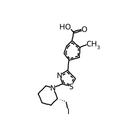 Cc1cc(-c2csc(N3CCCC[C@H]3CI)n2)ccc1C(=O)O